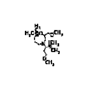 COCCC(N1CCC[Si](C)(C)OC(COC)C1)[SiH](C)C